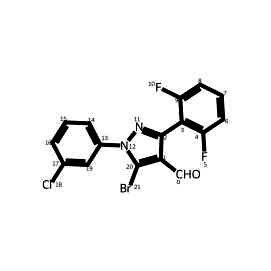 O=Cc1c(-c2c(F)cccc2F)nn(-c2cccc(Cl)c2)c1Br